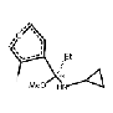 CC[C@](NC1CC1)(OC)c1ccccc1I